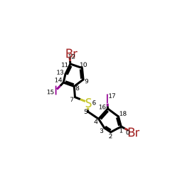 Brc1ccc(CSCc2ccc(Br)cc2I)c(I)c1